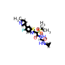 Cc1ccc(-c2cc3sc(C(C(=O)NCC(=O)NC4CC4)S(=O)(=O)C(C)C)nc3cc2F)cn1